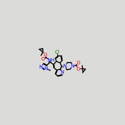 Cn1cncc1[C@H](NC(=O)OC1(C)CC1)C1=Cc2cccnc2[C@@H](N2CCN(C(=O)OC3(C)CC3)CC2)C2C=CC(Cl)=CC12